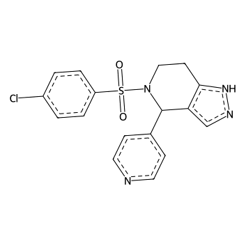 O=S(=O)(c1ccc(Cl)cc1)N1CCc2[nH]ncc2C1c1ccncc1